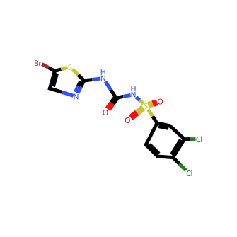 O=C(Nc1ncc(Br)s1)NS(=O)(=O)c1ccc(Cl)c(Cl)c1